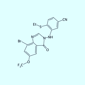 CCSc1ccc(C#N)cc1Nn1cnc2c(Br)cc(OC(F)(F)F)cc2c1=O